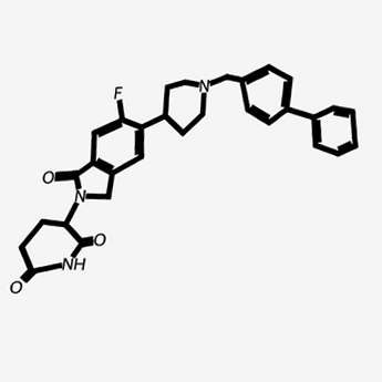 O=C1CCC(N2Cc3cc(C4CCN(Cc5ccc(-c6ccccc6)cc5)CC4)c(F)cc3C2=O)C(=O)N1